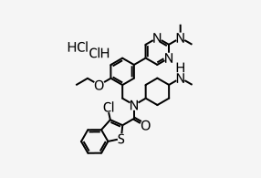 CCOc1ccc(-c2cnc(N(C)C)nc2)cc1CN(C(=O)c1sc2ccccc2c1Cl)C1CCC(NC)CC1.Cl.Cl